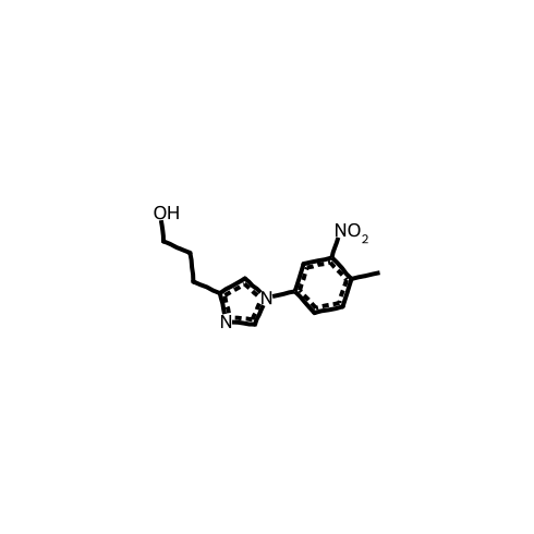 Cc1ccc(-n2cnc(CCCO)c2)cc1[N+](=O)[O-]